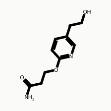 NC(=O)CCOc1ccc([CH]CO)cn1